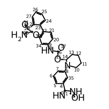 N=C(NO)c1cccc(N2CCCC[C@@H]2OC(=O)Nc2ccc(-c3ccccc3S(N)(=O)=O)cc2)c1